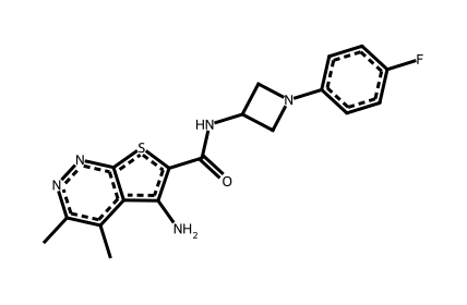 Cc1nnc2sc(C(=O)NC3CN(c4ccc(F)cc4)C3)c(N)c2c1C